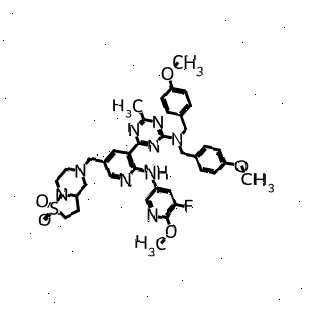 COc1ccc(CN(Cc2ccc(OC)cc2)c2nc(C)nc(-c3cc(CN4CCN5C(CCS5(=O)=O)C4)cnc3Nc3cnc(OC)c(F)c3)n2)cc1